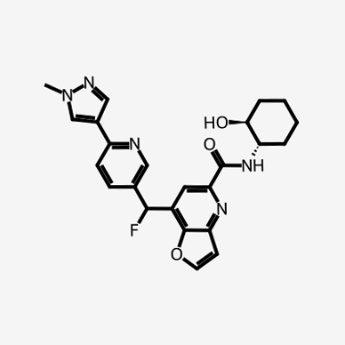 Cn1cc(-c2ccc(C(F)c3cc(C(=O)N[C@H]4CCCC[C@@H]4O)nc4ccoc34)cn2)cn1